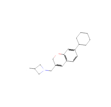 O=C(O)C1CN(CC2=Cc3ccc(C4CCCCC4)cc3OC2)C1